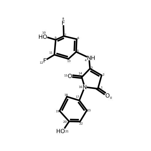 O=C1C=C(Nc2cc(F)c(O)c(F)c2)C(=O)N1c1ccc(O)cc1